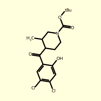 CC1CN(C(=O)OC(C)(C)C)CCC1C(=O)c1cc(Cl)c(Cl)cc1O